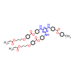 C=CC(=O)OCCCCOc1ccc(C(=O)Oc2ccc(Nc3nc(Nc4ccc(OC(=O)c5ccc(OCCCCOC(=O)C=C)cc5)cc4)nc(Nc4ccc(C(=O)Oc5ccc(C)cc5)cc4)n3)cc2)cc1